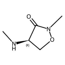 CN[C@@H]1CON(C)C1=O